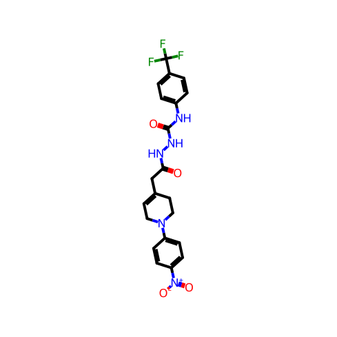 O=C(CC1=CCN(c2ccc([N+](=O)[O-])cc2)CC1)NNC(=O)Nc1ccc(C(F)(F)F)cc1